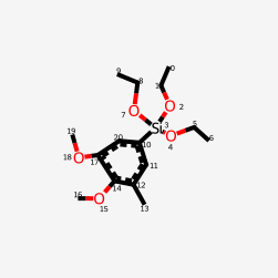 CCO[Si](OCC)(OCC)c1cc(C)c(OC)c(OC)c1